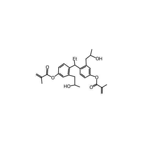 C=C(C)C(=O)Oc1ccc(C(CC)c2ccc(OC(=O)C(=C)C)cc2CC(C)O)c(CC(C)O)c1